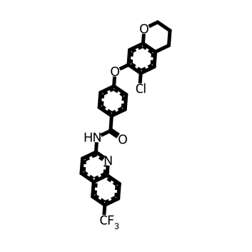 O=C(Nc1ccc2cc(C(F)(F)F)ccc2n1)c1ccc(Oc2cc3c(cc2Cl)CCCO3)cc1